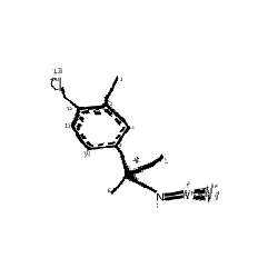 Cc1cc(C(C)(C)N=[N+]=[N-])ccc1Cl